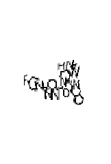 O=C(c1nnc(N2CCC(F)CC2)o1)N1CCc2[nH]cnc2[C@H]1c1cc2ccccc2cn1